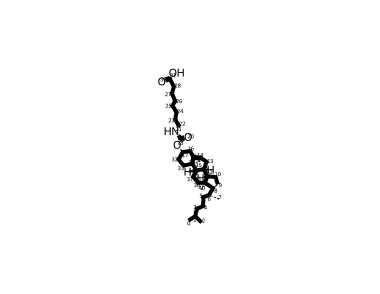 CC(C)CCC[C@@H](C)[C@H]1CC[C@H]2[C@@H]3CC=C4C[C@@H](OC(=O)NCCCCCCCC(=O)O)CC[C@]4(C)[C@H]3CC[C@]12C